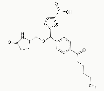 CCCCCC(=O)c1ccc(C(OC[C@@H]2CCC(=O)N2)c2ccc(C(=O)O)s2)cc1